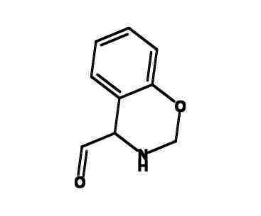 O=CC1NCOc2ccccc21